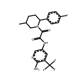 CC1CCC(c2ccc(F)cc2)N(C(=O)C(=O)Nc2cnc(N)c(C(F)(F)F)c2)C1